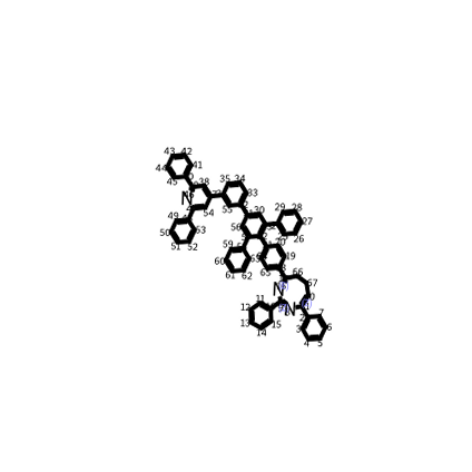 C1=C(c2ccccc2)/N=C(c2ccccc2)\N=C(\c2ccc(-c3c(-c4ccccc4)cc(-c4cccc(-c5cc(-c6ccccc6)nc(-c6ccccc6)c5)c4)cc3-c3ccccc3)cc2)CC\1